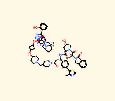 Cc1ncsc1-c1ccc([C@H](CC(=O)N2CCC(CN3CCC(OC4CC(Oc5cc(N6C7CC[C@@H]6CN(c6cc(-c8ccccc8O)nnc6N)C7)ccn5)C4)CC3)CC2)NC(=O)[C@@H]2C[C@@H](O)CN2C(=O)[C@H](C(C)C)N2Cc3ccccc3C2=O)cc1